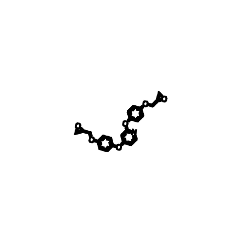 c1cc(Oc2ccc(OCC3CO3)cc2)cc(Oc2ccc(OCC3CO3)cc2)n1